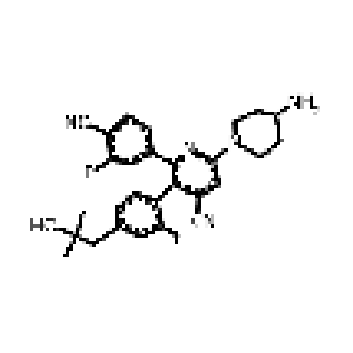 CC(C)(O)Cc1ccc(-c2c(C#N)cc(N3CCC(N)CC3)nc2-c2ccc(C#N)c(F)c2)c(F)c1